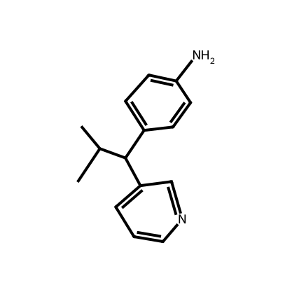 CC(C)C(c1ccc(N)cc1)c1cccnc1